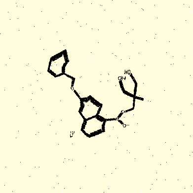 CC(CO)(CO)COB([O-])c1cccc2cc(OCc3ccccc3)ccc12.[Li+]